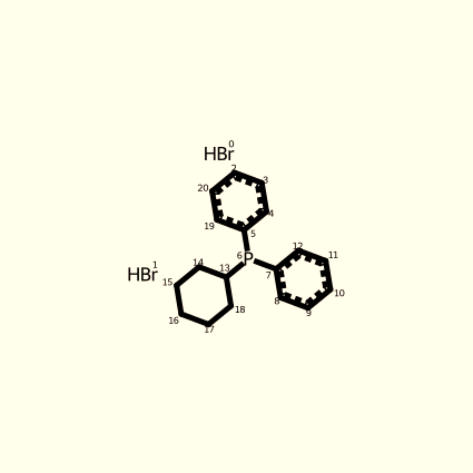 Br.Br.c1ccc(P(c2ccccc2)C2CCCCC2)cc1